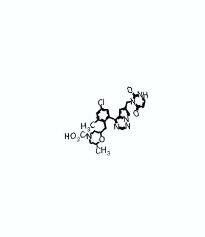 Cc1cc(Cl)cc(-c2ncnn3cc(Cn4c(=O)cc[nH]c4=O)cc23)c1CC1CN(C(=O)O)C[C@H](C)O1